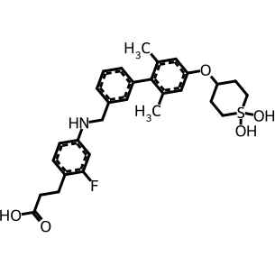 Cc1cc(OC2CCS(O)(O)CC2)cc(C)c1-c1cccc(CNc2ccc(CCC(=O)O)c(F)c2)c1